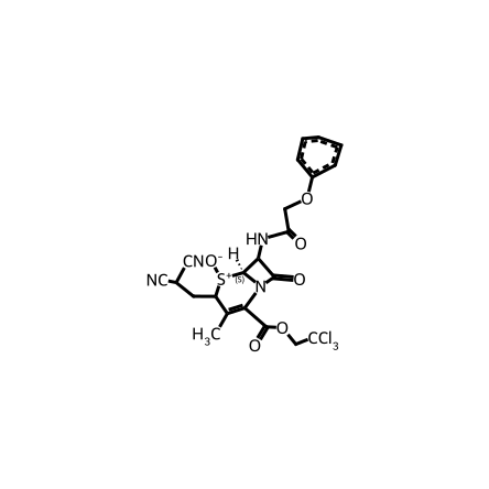 CC1=C(C(=O)OCC(Cl)(Cl)Cl)N2C(=O)C(NC(=O)COc3ccccc3)[C@@H]2[S+]([O-])C1CC(C#N)C#N